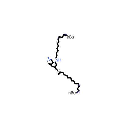 C=C(CCCCCCCC/C=C\C/C=C\CCCC)CCC(CCNCCCCCCCC/C=C\C/C=C\CCCC)CC(=C)CCN(C)C